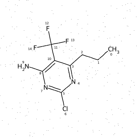 CCCc1nc(Cl)nc(N)c1C(F)(F)F